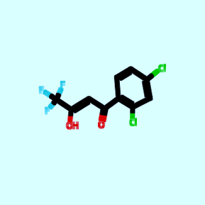 O=C(C=C(O)C(F)(F)F)c1ccc(Cl)cc1Cl